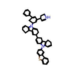 C1=Cc2c(c3c(n2-c2ccc4sc5ccccc5c4c2)C=CC(C2C=c4c5c(n(C6C=C(C7C=CNCC7)C=C(c7ccccc7)C6)c4=CC2)C=CCC5)C3)CC1